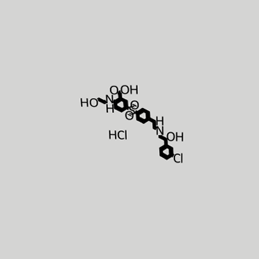 Cl.O=C(O)c1cc(S(=O)(=O)c2ccc(CCNC[C@H](O)c3cccc(Cl)c3)cc2)ccc1NCCO